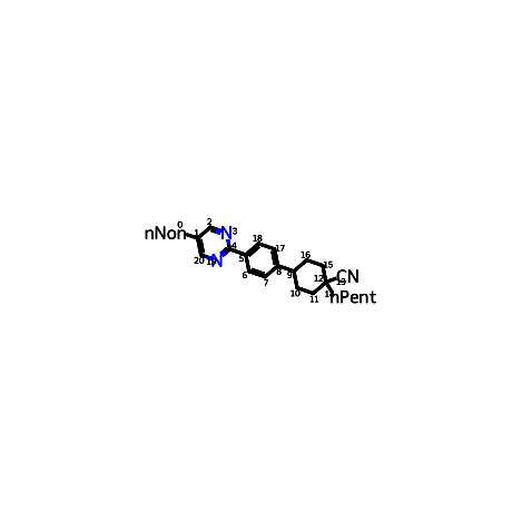 CCCCCCCCCc1cnc(-c2ccc(C3CCC(C#N)(CCCCC)CC3)cc2)nc1